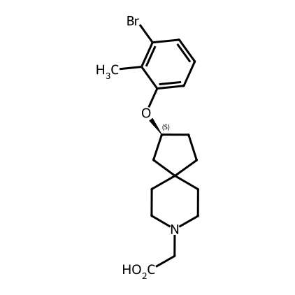 Cc1c(Br)cccc1O[C@H]1CCC2(CCN(CC(=O)O)CC2)C1